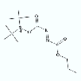 CCCOC(=O)N=NC(=O)O[SiH](C(C)(C)C)C(C)(C)C